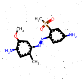 COc1cc(/N=N/c2ccc(N)cc2S(C)(=O)=O)c(C)cc1N